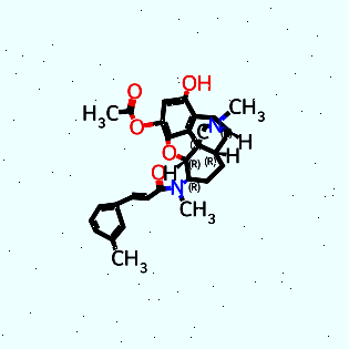 CC(=O)Oc1cc(O)c2c3c1O[C@H]1[C@H](N(C)C(=O)C=Cc4cccc(C)c4)CC[C@H]4[C@@H](C2)N(C)CC[C@@]341